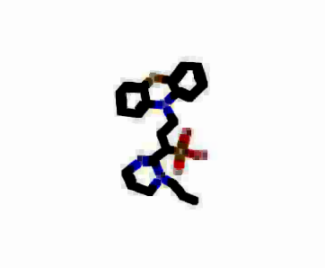 CCCN1CC=CN=C1C(CCN1c2ccccc2Sc2ccccc21)S(=O)(=O)O